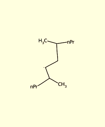 CCCC(C)[CH]CC(C)CCC